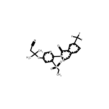 CCS(=O)(=O)c1cc(OC(C)(C)CC#N)cnc1-n1ncc2ccc(C(F)(F)F)cc2c1=O